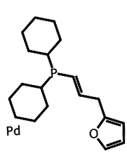 C(=CP(C1CCCCC1)C1CCCCC1)Cc1ccco1.[Pd]